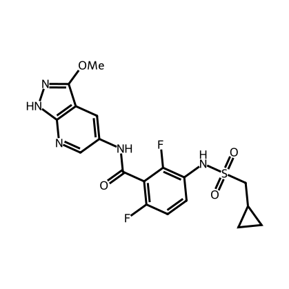 COc1n[nH]c2ncc(NC(=O)c3c(F)ccc(NS(=O)(=O)CC4CC4)c3F)cc12